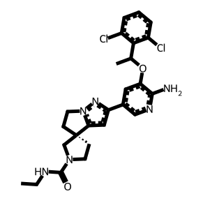 CCNC(=O)N1CC[C@@]2(CCn3nc(-c4cnc(N)c(OC(C)c5c(Cl)cccc5Cl)c4)cc32)C1